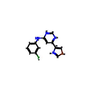 Fc1cccc(Nc2cc(-c3cscn3)ncn2)c1